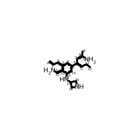 C=C/C=c1/cc(C(/C=C(/C)N)=C/CC)cc(NC2CNC2)/c1=C/N